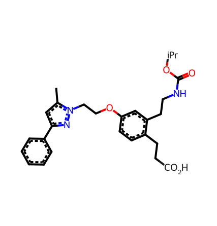 Cc1cc(-c2ccccc2)nn1CCOc1ccc(CCC(=O)O)c(CCNC(=O)OC(C)C)c1